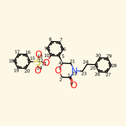 O=C1CO[C@@H](c2ccccc2OS(=O)(=O)c2ccccc2)CN1CCc1ccccc1